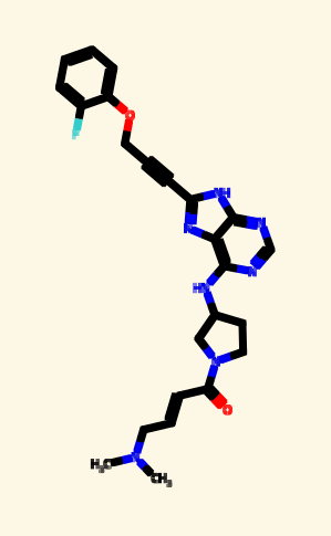 CN(C)CC=CC(=O)N1CCC(Nc2ncnc3[nH]c(C#CCOc4ccccc4F)nc23)C1